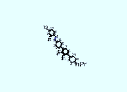 CCCC1CCC(c2ccc(C3CCC(/C=C/C4CCC(C)C=C4F)CC3)c(F)c2F)CC1